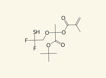 C=C(C)C(=O)OC(C)(OCC(F)(F)S)C(=O)OC(C)(C)C